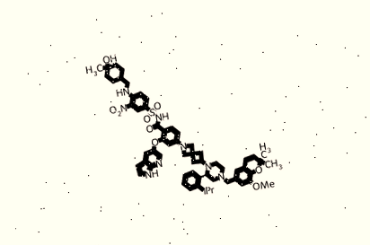 COc1cc(CN2CCN(C3CC4(C3)CN(c3ccc(C(=O)NS(=O)(=O)c5ccc(NCC6CCC(C)(O)CC6)c([N+](=O)[O-])c5)c(Oc5cnc6[nH]ccc6c5)c3)C4)[C@H](c3ccccc3C(C)C)C2)cc2c1OC(C)(C)C=C2